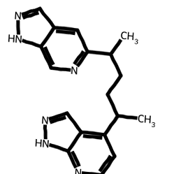 CC(CCC(C)c1ccnc2[nH]ncc12)c1cc2cn[nH]c2cn1